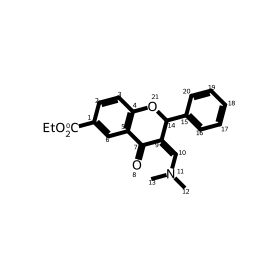 CCOC(=O)c1ccc2c(c1)C(=O)C(=CN(C)C)C(c1ccccc1)O2